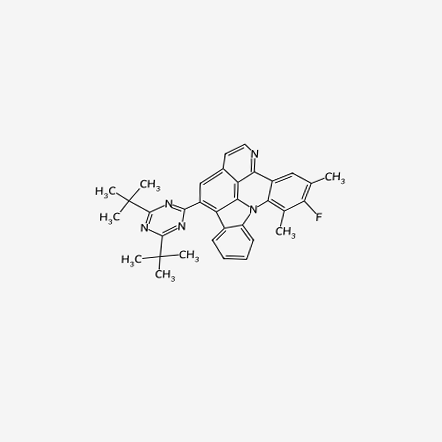 Cc1cc2c3nccc4cc(-c5nc(C(C)(C)C)nc(C(C)(C)C)n5)c5c6ccccc6n(c2c(C)c1F)c5c43